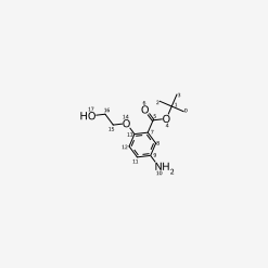 CC(C)(C)OC(=O)c1cc(N)ccc1OCCO